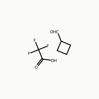 O=C(O)C(F)(F)F.O=CC1CCC1